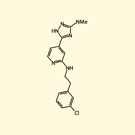 CNc1n[nH]c(-c2ccnc(NCCc3cccc(Cl)c3)c2)n1